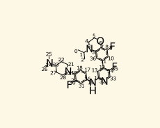 CC(C)N1CCOc2c(F)cc(-c3cc(Nc4ccc(N5CCC(N(C)C)CC5)c(F)c4)ncc3F)cc21